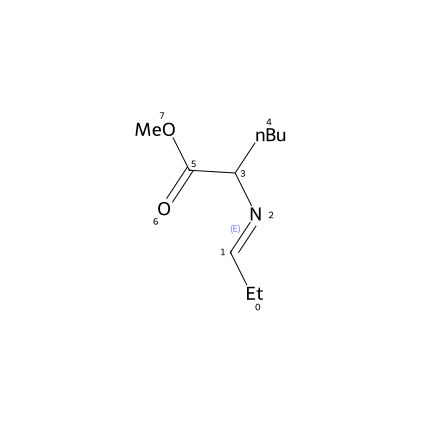 CC/C=N/C(CCCC)C(=O)OC